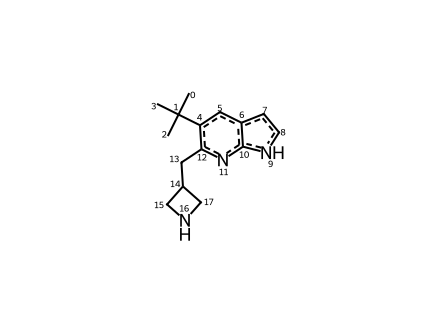 CC(C)(C)c1cc2cc[nH]c2nc1CC1CNC1